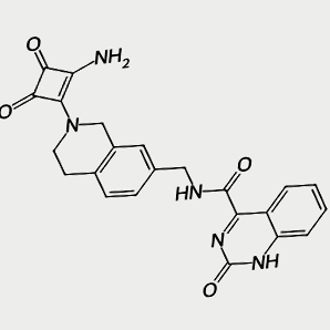 Nc1c(N2CCc3ccc(CNC(=O)c4nc(=O)[nH]c5ccccc45)cc3C2)c(=O)c1=O